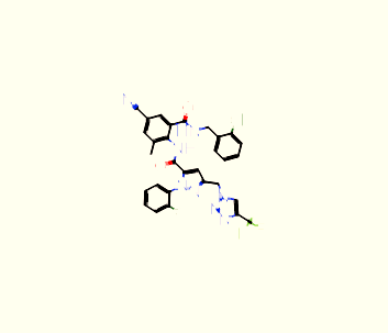 Cc1cc(C#N)cc(C(=O)NCc2ccccc2Cl)c1NC(=O)c1cc(Cn2cc(C(F)(F)F)nn2)nn1-c1ccccc1Cl